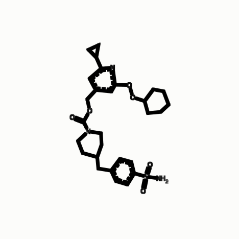 NS(=O)(=O)c1ccc(CC2CCN(C(=O)OCc3cc(OOC4CCCCC4)nc(C4CC4)c3)CC2)cc1